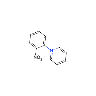 O=[N+]([O-])c1ccccc1-[n+]1ccccc1